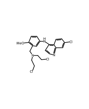 COc1ccc(Nc2ccnc3cc(Cl)ccc23)cc1CN(CCCl)CCCl